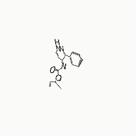 C=CC(C)OC(=O)N=c1cc[nH]nc1-c1ccccc1